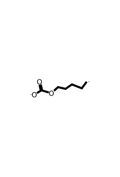 [CH2]CCCCOC([O])=O